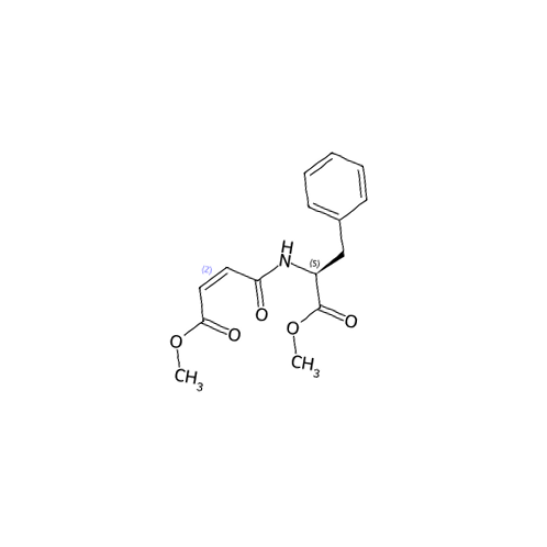 COC(=O)/C=C\C(=O)N[C@@H](Cc1ccccc1)C(=O)OC